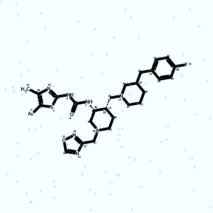 CC(=O)c1sc(NC(=O)N[C@H]2CN(Cc3ncon3)CC[C@H]2CN2CCCC(Cc3ccc(F)cc3)C2)nc1C